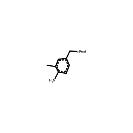 CCCCCCc1ccc(N)c(C)c1